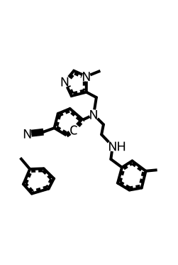 Cc1cccc(CNCCN(Cc2cncn2C)c2ccc(C#N)cc2)c1.Cc1ccccc1